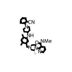 CNC(=O)c1cccnc1N1CCN(Cc2cc(NC3CCN(c4ccccc4C#N)CC3)c(C)cc2C)C[C@H]1C